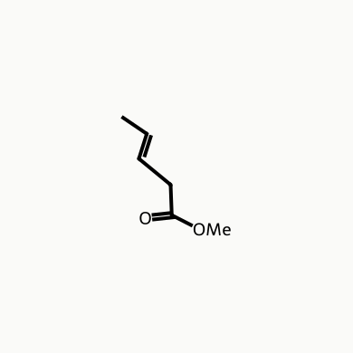 [CH2]OC(=O)CC=CC